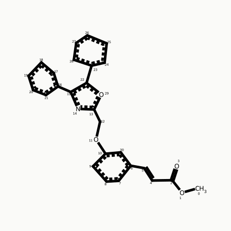 COC(=O)/C=C/c1cccc(OCc2nc(-c3ccccc3)c(-c3ccccc3)o2)c1